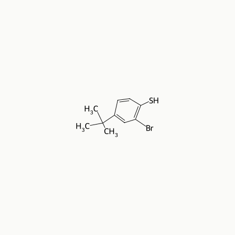 CC(C)(C)c1ccc(S)c(Br)c1